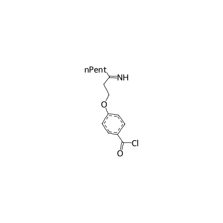 CCCCCC(=N)CCOc1ccc(C(=O)Cl)cc1